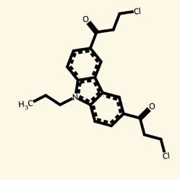 CCCn1c2ccc(C(=O)CCCl)cc2c2cc(C(=O)CCCl)ccc21